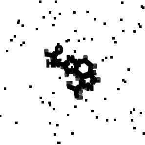 CC(=O)Nc1cc2n(n1)CCc1cnn(C(C)C)c1-2